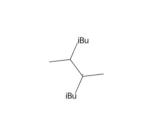 CCC(C)[C](C)C(C)C(C)CC